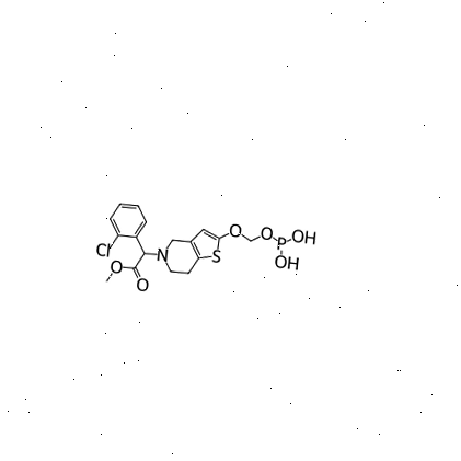 COC(=O)C(c1ccccc1Cl)N1CCc2sc(OCOP(O)O)cc2C1